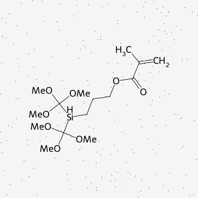 C=C(C)C(=O)OCCC[SiH](C(OC)(OC)OC)C(OC)(OC)OC